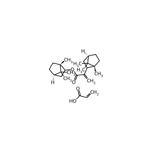 C=C(C(=O)OC1C[C@H]2CC[C@@]1(C)C2(C)C)C1C[C@H]2CC[C@@]1(C)C2(C)C.C=CC(=O)O